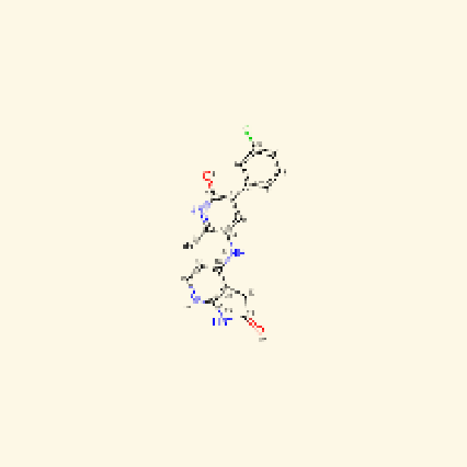 CC(C)c1[nH]c(=O)c(-c2cccc(Cl)c2)cc1Nc1ccnc2c1CC(=O)N2